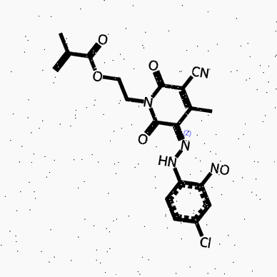 C=C(C)C(=O)OCCN1C(=O)C(C#N)=C(C)/C(=N/Nc2ccc(Cl)cc2N=O)C1=O